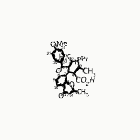 CCCN1C(C)=C(C(=O)O)C(c2cccc3c(=O)cc(C)oc23)C(C(=O)c2ccc(OC)cc2)=C1C